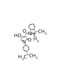 CC(C)c1ccc(N2CC(O)=C(C(=O)Nc3ccccc3C(C)C)C2=O)cc1